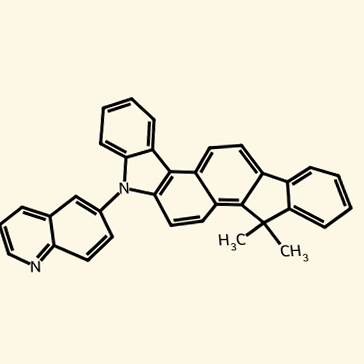 CC1(C)c2ccccc2-c2ccc3c(ccc4c3c3ccccc3n4-c3ccc4ncccc4c3)c21